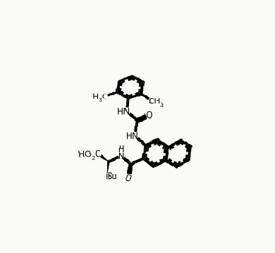 CC[C@H](C)[C@H](NC(=O)c1cc2ccccc2cc1NC(=O)Nc1c(C)cccc1C)C(=O)O